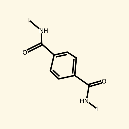 O=C(NI)c1ccc(C(=O)NI)cc1